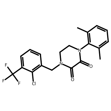 Cc1cccc(C)c1N1CCN(Cc2cccc(C(F)(F)F)c2Cl)C(=O)C1=O